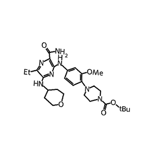 CCc1nc(C(N)=O)c(Nc2ccc(N3CCN(C(=O)OC(C)(C)C)CC3)c(OC)c2)nc1NC1CCOCC1